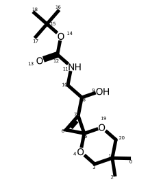 CC1(C)COC2(C=C2C(O)CNC(=O)OC(C)(C)C)OC1